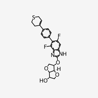 O[C@@H]1CO[C@H]2C1OC[C@H]2Oc1nc2c(F)c(-c3ccc(C4=CCSCC4)cc3)c(F)cc2[nH]1